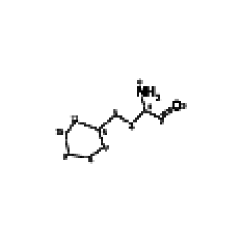 NC(C=O)CCC1CCCCC1